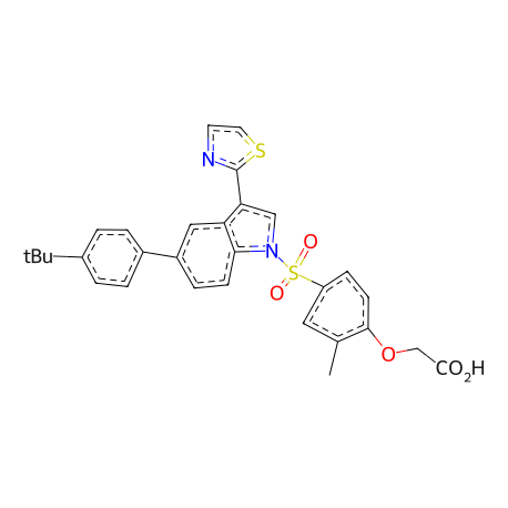 Cc1cc(S(=O)(=O)n2cc(-c3nccs3)c3cc(-c4ccc(C(C)(C)C)cc4)ccc32)ccc1OCC(=O)O